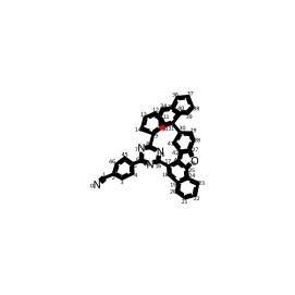 N#Cc1ccc(-c2nc(-c3ccccc3)nc(-c3cc4ccccc4c4oc5ccc(-c6cccc7ccccc67)cc5c34)n2)cc1